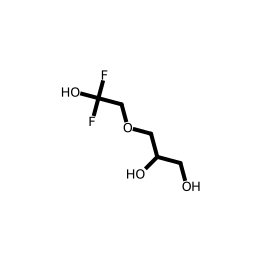 OCC(O)COCC(O)(F)F